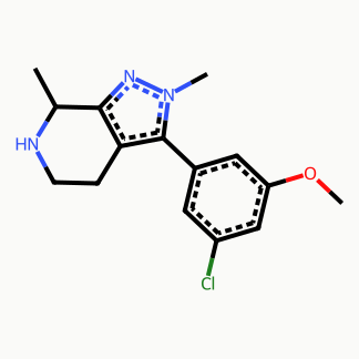 COc1cc(Cl)cc(-c2c3c(nn2C)C(C)NCC3)c1